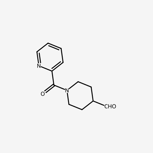 O=CC1CCN(C(=O)c2ccccn2)CC1